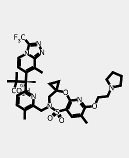 Cc1ccc([C@@](C)(c2ccn3c(C(F)(F)F)nnc3c2C)C(C)(C)C(=O)O)nc1CN1CC2(CC2)Oc2nc(OCCN3CCCC3)c(C)cc2S1(=O)=O